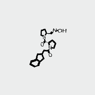 O=C([C@@H]1CCCN1C(=O)CC1Cc2ccccc2C1)N1CCC[C@H]1C=NO